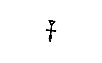 CC(C)(C#N)C1CC1